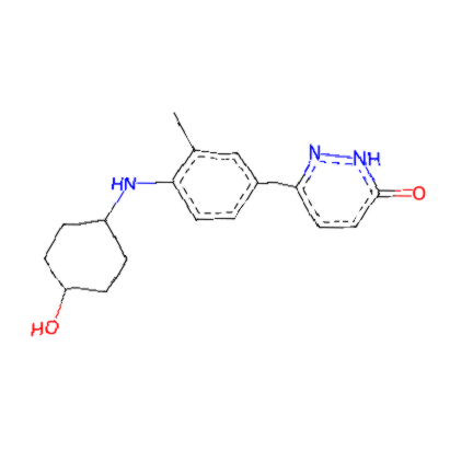 Cc1cc(-c2ccc(=O)[nH]n2)ccc1NC1CCC(O)CC1